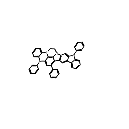 c1ccc(-c2cc3c4c5c2c2cc6c7ccccc7n(-c7ccccc7)c6cc2n5CCB4c2ccccc2N3c2ccccc2)cc1